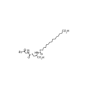 CCC(=O)CNC(=O)CC[C@H](NC(=O)CCCCCCCCCCCCCCC(=O)O)C(=O)O